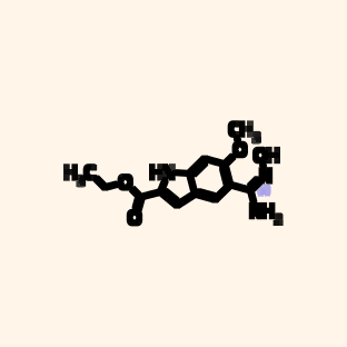 CCOC(=O)c1cc2cc(/C(N)=N\O)c(OC)cc2[nH]1